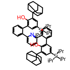 CC(C)[Si](c1cc(-c2ccccc2-c2cccc(-c3ccccc3-c3cc([Si](C(C)C)(C(C)C)C(C)C)cc(C45CC6CC(CC(C6)C4)C5)c3O)n2)c(O)c(C23CC4CC(CC(C4)C2)C3)c1)(C(C)C)C(C)C